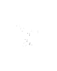 C[C@H]1CN(C2CCN(c3ccccc3C#N)CC2)[C@@H](Cc2ccc(Cl)cc2)CO1